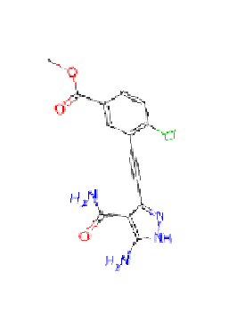 COC(=O)c1ccc(Cl)c(C#Cc2n[nH]c(N)c2C(N)=O)c1